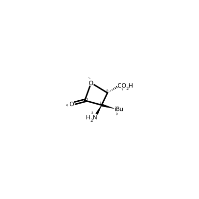 CC[C@H](C)[C@]1(N)C(=O)O[C@@H]1C(=O)O